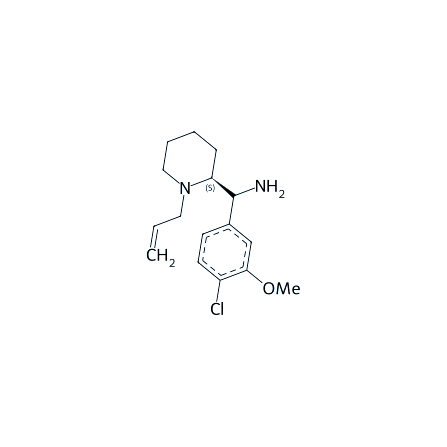 C=CCN1CCCC[C@H]1C(N)c1ccc(Cl)c(OC)c1